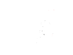 CC(=O)C1C=C2CC(O)CC[C@]2(C)[C@H]2CC[C@]3(C)[C@@H]([C@H](C)CCCC(C)C)CC[C@H]3[C@H]12